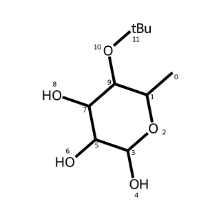 CC1OC(O)C(O)C(O)C1OC(C)(C)C